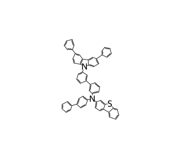 c1ccc(-c2ccc(N(c3cccc(-c4cccc(-n5c6ccc(-c7ccccc7)cc6c6cc(-c7ccccc7)ccc65)c4)c3)c3ccc4c(c3)sc3ccccc34)cc2)cc1